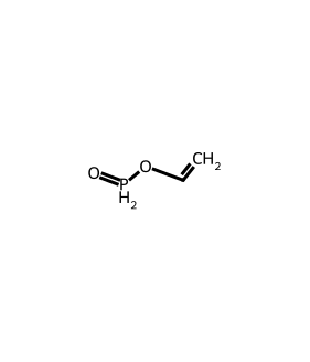 C=CO[PH2]=O